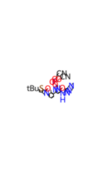 Cc1c(-c2cc(Nc3cc4n(n3)CCN(C)C4)c(=O)n(COP(=O)(COCC#N)OCCC#N)n2)cccc1N1Cc2cc(C(C)(C)C)sc2C1=O